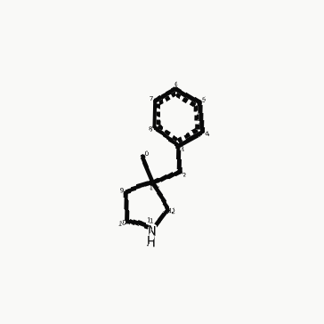 CC1(Cc2ccccc2)CCNC1